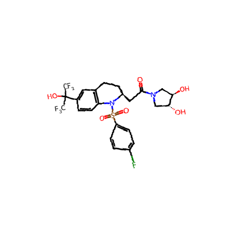 O=C(C[C@@H]1CCc2cc(C(O)(C(F)(F)F)C(F)(F)F)ccc2N1S(=O)(=O)c1ccc(F)cc1)N1C[C@@H](O)[C@H](O)C1